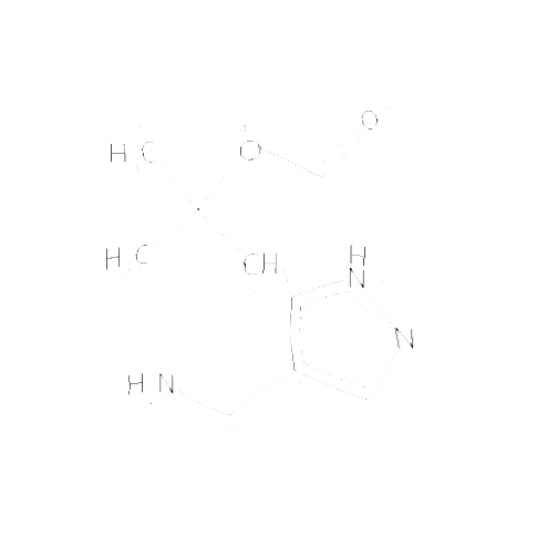 CC(C)(C)OC=O.NCc1cn[nH]c1